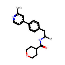 COc1cc(-c2ccc(CC(C#N)NC(=O)C3CCOCC3)cc2)ccn1